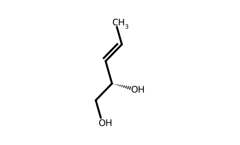 C/C=C/[C@H](O)CO